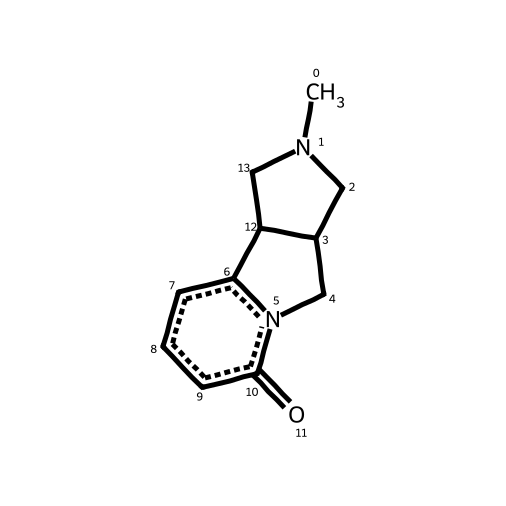 CN1CC2Cn3c(cccc3=O)C2C1